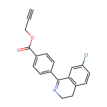 C#CCOC(=O)c1ccc(C2=NCCc3ccc(Cl)cc32)cc1